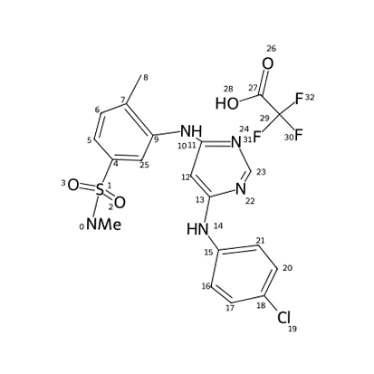 CNS(=O)(=O)c1ccc(C)c(Nc2cc(Nc3ccc(Cl)cc3)ncn2)c1.O=C(O)C(F)(F)F